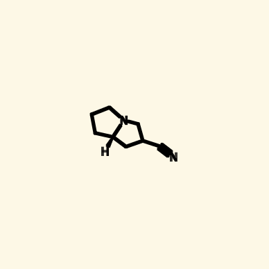 N#CC1C[C@@H]2CCCN2C1